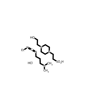 CCN=C=NCCCN(C)C.Cl.O=S(=O)(O)CCN1CCN(CCO)CC1